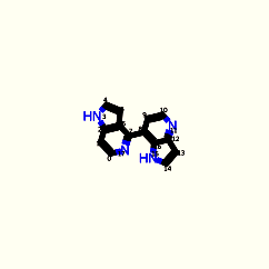 c1cc2[nH]ccc2c(-c2ccnc3cc[nH]c23)n1